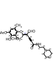 COc1cc(C)c(O/C(C)=C(/C#CC(=O)NCCN2CCOCC2)C=O)c(C=O)c1O